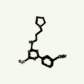 COc1cccc(-c2nc(NCCCN3CCCC3)nc(C(Cl)(Cl)Cl)n2)c1